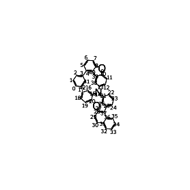 c1ccc(-c2cccc3oc4ccc(N(c5ccccc5)c5cccc6c5oc5ccc7ccccc7c56)cc4c23)cc1